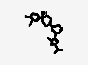 Cc1nn(C(C)C)cc1-c1cncc(N2CCC(O)(c3ccc(F)c(F)c3)CC2)n1